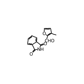 Cc1ccoc1C=O.O=C1NC(=O)c2ccccc21